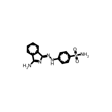 NC1=NC(=NNc2ccc(S(N)(=O)=O)cc2)c2ccccc21